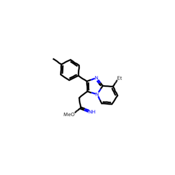 CCc1cccn2c(CC(=N)OC)c(-c3ccc(C)cc3)nc12